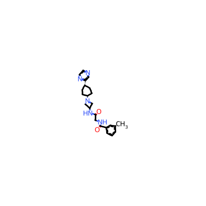 Cc1cccc(C(=O)NCC(=O)NC2CN([C@H]3CC[C@@H](c4cnccn4)CC3)C2)c1